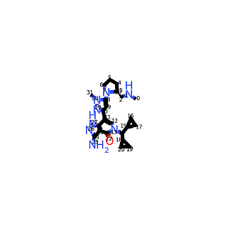 CNC[C@@H]1CCCN1c1cc(-c2cn(C(C3CC3)C3CC3)c(=O)c3c(N)n[nH]c23)nn1C